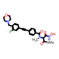 CNC(=O)C(C(=O)NO)N(C)C(=O)c1ccc(C#Cc2ccc(CN3CCOCC3)c(F)c2)cc1